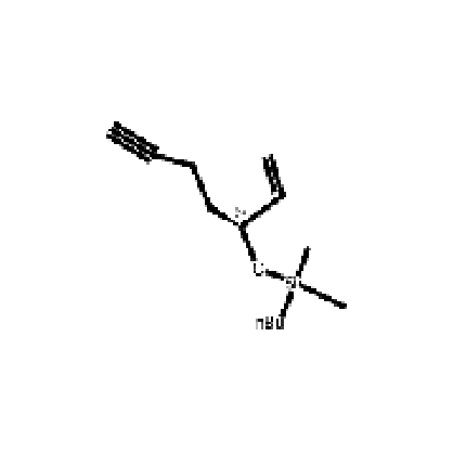 C#CCC[C@@H](C=C)O[Si](C)(C)CCCC